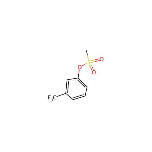 CS(=O)(=O)Oc1cccc(C(F)(F)F)c1